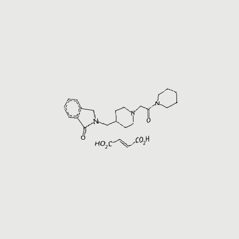 O=C(CN1CCC(CN2Cc3ccccc3C2=O)CC1)N1CCCCC1.O=C(O)C=CC(=O)O